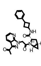 CC(=O)c1nn(CC(=O)N2[C@@H]3C[C@@H]3C[C@H]2C(=O)NC2CC(c3ccccc3)C2)c2ncccc12